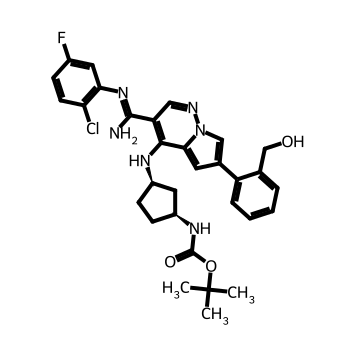 CC(C)(C)OC(=O)N[C@H]1CC[C@@H](Nc2c(/C(N)=N/c3cc(F)ccc3Cl)cnn3cc(-c4ccccc4CO)cc23)C1